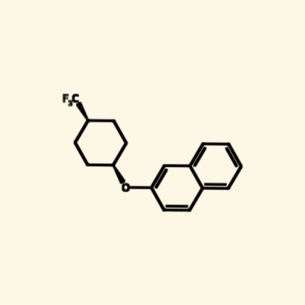 FC(F)(F)[C@H]1CC[C@@H](Oc2ccc3ccccc3c2)CC1